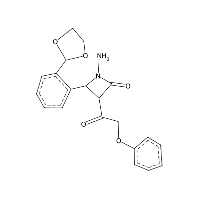 NN1C(=O)C(C(=O)COc2ccccc2)C1c1ccccc1C1OCCO1